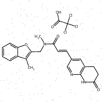 Cc1c(CN(C)C(=O)/C=C/c2cnc3c(c2)CCC(=O)N3)oc2ccccc12.O=C(O)C(Cl)(Cl)Cl